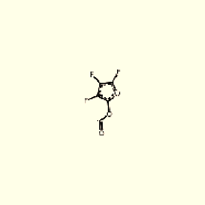 O=[C]Oc1oc(F)c(F)c1F